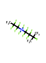 FC(F)(F)C(F)(F)C(F)(F)[N+](F)(F)C(F)(F)C(F)(F)C(F)(C(F)(F)F)C(F)(F)F